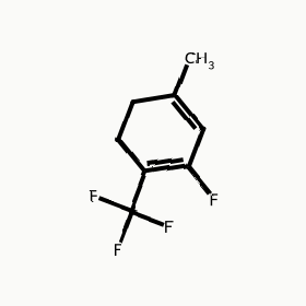 CC1=CC(F)=C(C(F)(F)F)CC1